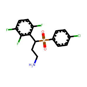 NCCC(c1c(F)ccc(F)c1F)S(=O)(=O)c1ccc(Cl)cc1